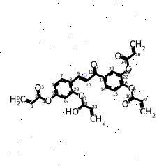 C=CC(=O)Oc1ccc(/C=C/C(=O)c2ccc(OC(=O)C=C)c(OC(=O)C=C)c2)c(OC(O)C=C)c1